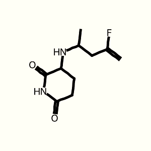 C=C(F)CC(C)NC1CCC(=O)NC1=O